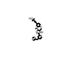 CN1C(=O)[C@@H](NC(=O)c2cc(Cc3cscn3)ccn2)COc2ccc(C#CC(C)(C)O)cc21